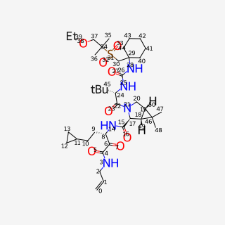 C=CCNC(=O)C(=O)[C@H](CCC1CC1)NC(=O)[C@@H]1[C@@H]2[C@H](CN1C(=O)[C@@H](NC(=O)NC1(CS(=O)(=O)C(C)(C)COCC)CCCCC1)C(C)(C)C)C2(C)C